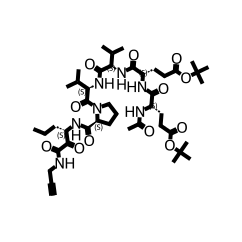 C#CCNC(=O)C(=O)[C@H](CCC)NC(=O)[C@@H]1CCCN1C(=O)[C@@H](NC(=O)[C@@H](NC(=O)[C@H](CCC(=O)OC(C)(C)C)NC(=O)[C@H](CCC(=O)OC(C)(C)C)NC(C)=O)C(C)C)C(C)C